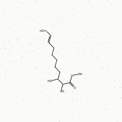 CCCCCCCCC=CCCCCCC(O)C(CCC)C(=O)OO